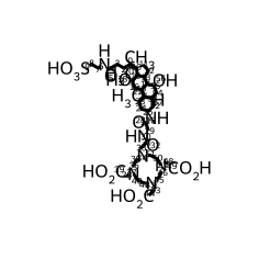 C[C@H](CCC(=O)NCCS(=O)(=O)O)[C@H]1CCC2C3C(C[C@H](O)[C@@]21C)[C@@]1(C)CC[C@H](NC(=O)CNC(=O)CN2CCN(CC(=O)O)CCN(CC(=O)O)CCN(CC(=O)O)CC2)C[C@H]1C[C@H]3O